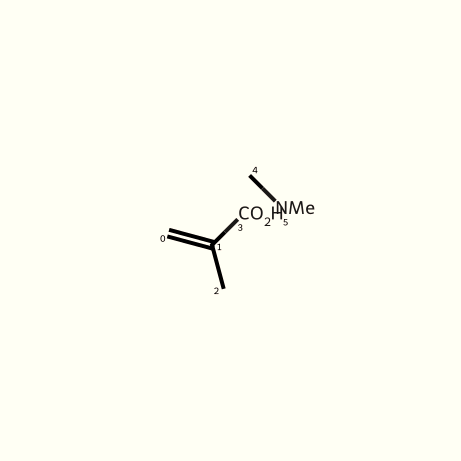 C=C(C)C(=O)O.CNC